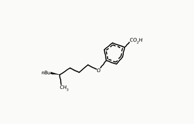 CCCC[C@H](C)CCCOc1ccc(C(=O)O)cc1